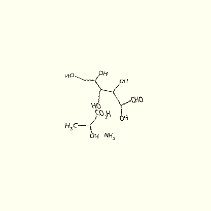 CC(O)C(=O)O.N.O=CC(O)C(O)C(O)C(O)CO